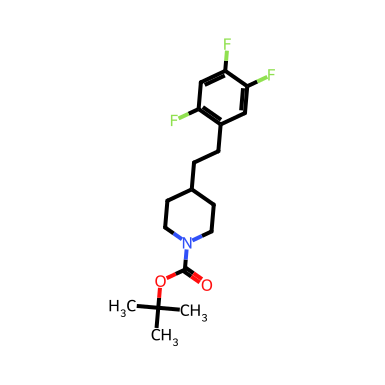 CC(C)(C)OC(=O)N1CCC(CCc2cc(F)c(F)cc2F)CC1